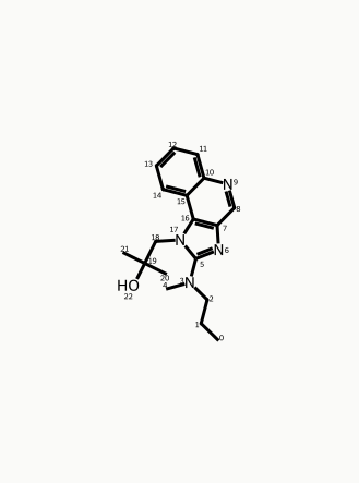 CCCN(C)c1nc2cnc3ccccc3c2n1CC(C)(C)O